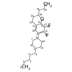 CCCCCC1CCC(c2cc3c(c(F)c2F)OC(CCC)CC3)CC1